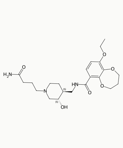 CCOc1ccc(C(=O)NC[C@@H]2CCN(CCCC(N)=O)C[C@H]2O)c2c1OCCCO2